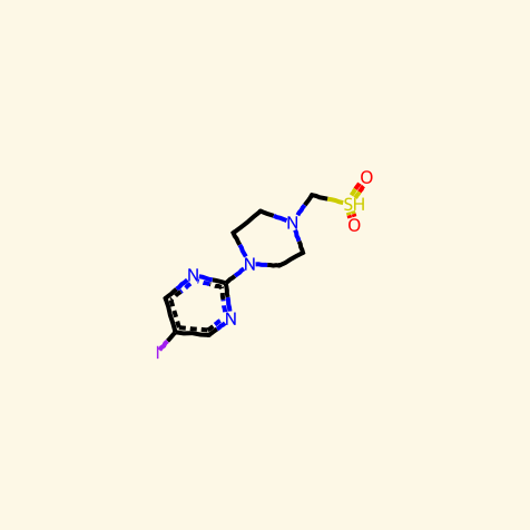 O=[SH](=O)CN1CCN(c2ncc(I)cn2)CC1